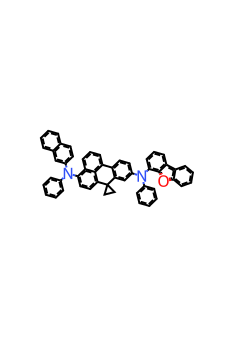 c1ccc(N(c2ccc3ccccc3c2)c2ccc3c4c(cccc24)-c2ccc(N(c4ccccc4)c4cccc5c4oc4ccccc45)cc2C32CC2)cc1